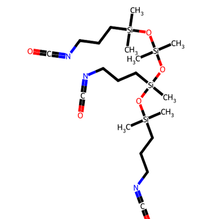 C[Si](C)(CCCN=C=O)O[Si](C)(C)O[Si](C)(CCCN=C=O)O[Si](C)(C)CCCN=C=O